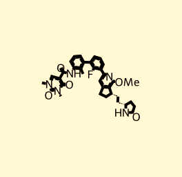 COc1nc(-c2cccc(-c3cccc(NC(=O)c4cn(C)c(=O)n(C)c4=O)c3C)c2F)cc2c1[C@H](CC[C@@H]1CCC(=O)N1)CC2